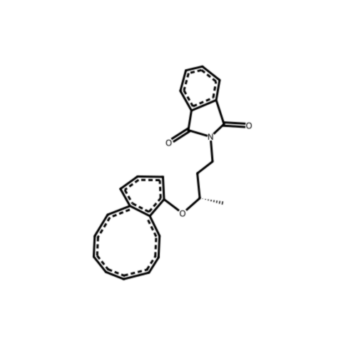 C[C@@H](CCN1C(=O)c2ccccc2C1=O)Oc1cccc2ccccccccc12